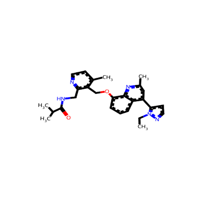 CCn1nccc1-c1cc(C)nc2c(OCc3c(C)ccnc3CNC(=O)C(C)C)cccc12